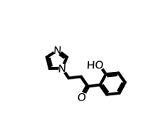 O=C(CCn1ccnc1)c1ccccc1O